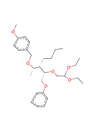 CCCC[C@@H]([C@H](C)OCc1ccc(OC)cc1)[C@@H](COc1ccccc1)OCC(OCC)OCC